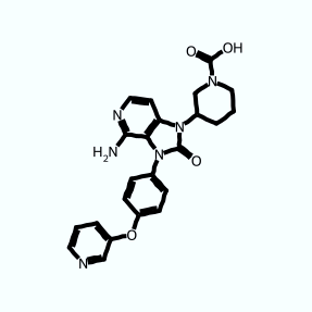 Nc1nccc2c1n(-c1ccc(Oc3cccnc3)cc1)c(=O)n2C1CCCN(C(=O)O)C1